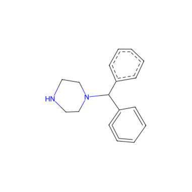 C1=C=C(C(c2ccccc2)N2CCNCC2)C=CC=1